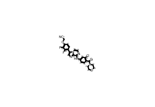 N#CCOc1ccc(-c2cnc3c(Nc4ccc(C(=O)N5CCOCC5)c(Cl)c4)nccn23)c(F)c1F